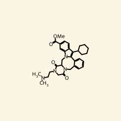 COC(=O)c1ccc2c(C3CCCCC3)c3n(c2c1)CC1C(=O)N(CCN(C)C)CC(=O)N1Cc1ccccc1-3